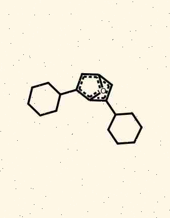 c1c(C2CCCCC2)c2oc1cc2C1CCCCC1